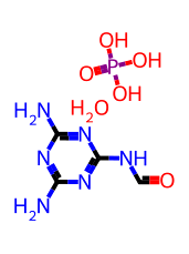 Nc1nc(N)nc(NC=O)n1.O.O=P(O)(O)O